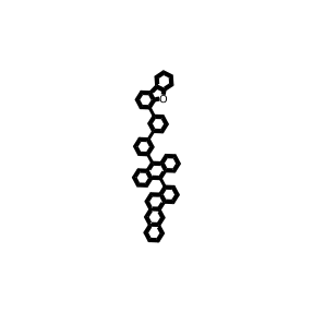 c1cc(-c2cccc(-c3cccc4c3oc3ccccc34)c2)cc(-c2c3ccccc3c(-c3cccc4c3ccc3cc5ccccc5cc34)c3ccccc23)c1